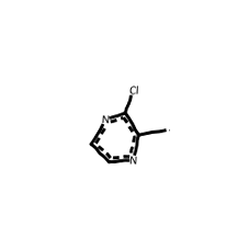 [CH2]c1nccnc1Cl